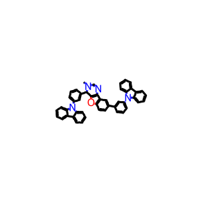 CN1C=Nc2c(oc3ccc(-c4cccc(-n5c6ccccc6c6ccccc65)c4)cc23)C1c1cccc(-n2c3ccccc3c3ccccc32)c1